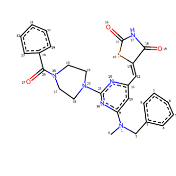 CN(Cc1ccccc1)c1cc(C=C2SC(=O)NC2=O)nc(N2CCN(C(=O)c3ccccc3)CC2)n1